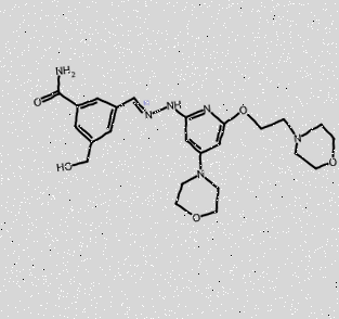 NC(=O)c1cc(/C=N/Nc2cc(N3CCOCC3)cc(OCCN3CCOCC3)n2)cc(CO)c1